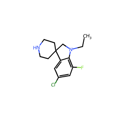 CCN1CC2(CCNCC2)c2cc(Cl)cc(F)c21